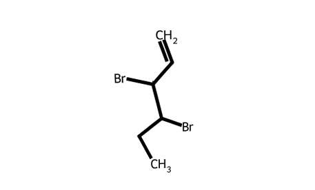 C=C[C](Br)C(Br)CC